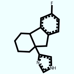 Fc1ccc2c(c1)C1CCCCC1(c1c[nH]cn1)C2